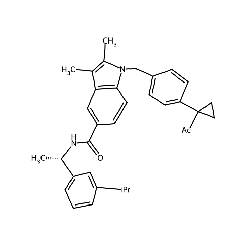 CC(=O)C1(c2ccc(Cn3c(C)c(C)c4cc(C(=O)N[C@@H](C)c5cccc(C(C)C)c5)ccc43)cc2)CC1